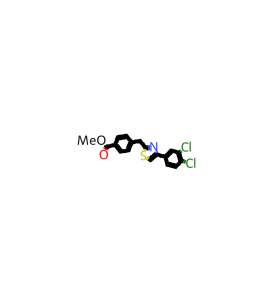 COC(=O)c1ccc(Cc2nc(-c3ccc(Cl)c(Cl)c3)cs2)cc1